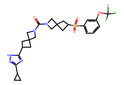 O=C(N1CC2(CC(c3nc(C4CC4)n[nH]3)C2)C1)N1CC2(CC(S(=O)(=O)c3cccc(OC(F)(F)F)c3)C2)C1